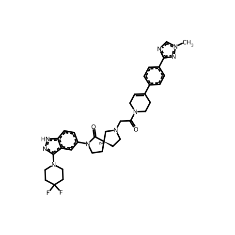 Cn1cnc(-c2ccc(C3=CCN(C(=O)CN4CC[C@]5(CCN(c6ccc7[nH]nc(N8CCC(F)(F)CC8)c7c6)C5=O)C4)CC3)cc2)n1